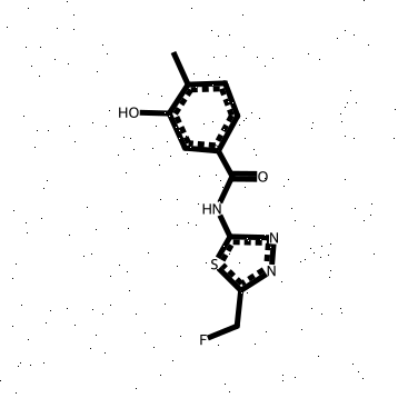 Cc1ccc(C(=O)Nc2nnc(CF)s2)cc1O